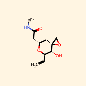 C=C[C@H]1O[C@H](CC(=O)NCCC)C[C@@]2(CO2)[C@@H]1O